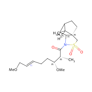 COC/C=C/CC[C@@H](OC)[C@@H](C)C(=O)N1[C@H]2CC3CC[C@@]2(CS1(=O)=O)C3(C)C